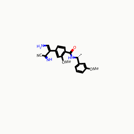 COc1cccc([C@@H](C)NC(=O)c2ccc(/C(=C/N)C(=N)C#N)cc2OC)c1